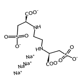 O=C([O-])[C@H](CS(=O)(=O)[O-])NCCN[C@@H](CS(=O)(=O)[O-])C(=O)[O-].[Na+].[Na+].[Na+].[Na+]